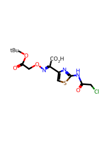 CC(C)(C)OC(=O)CON=C(C(=O)O)c1csc(NC(=O)CCl)n1